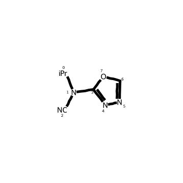 CC(C)N(C#N)c1nnco1